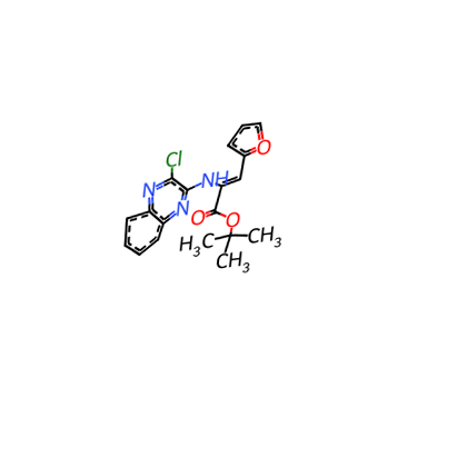 CC(C)(C)OC(=O)/C(=C/c1ccco1)Nc1nc2ccccc2nc1Cl